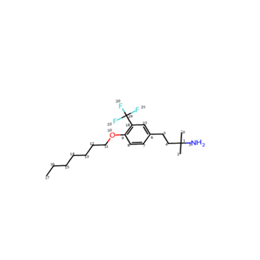 [CH2]C(C)(N)CCc1ccc(OCCCCCCC)c(C(F)(F)F)c1